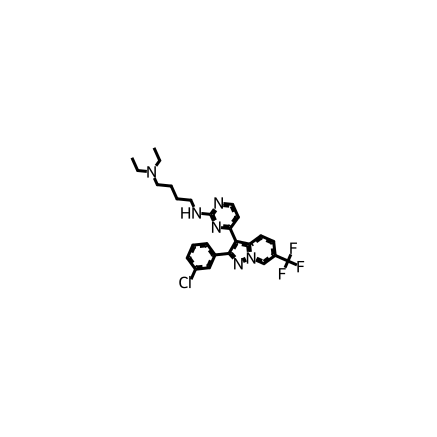 CCN(CC)CCCCNc1nccc(-c2c(-c3cccc(Cl)c3)nn3cc(C(F)(F)F)ccc23)n1